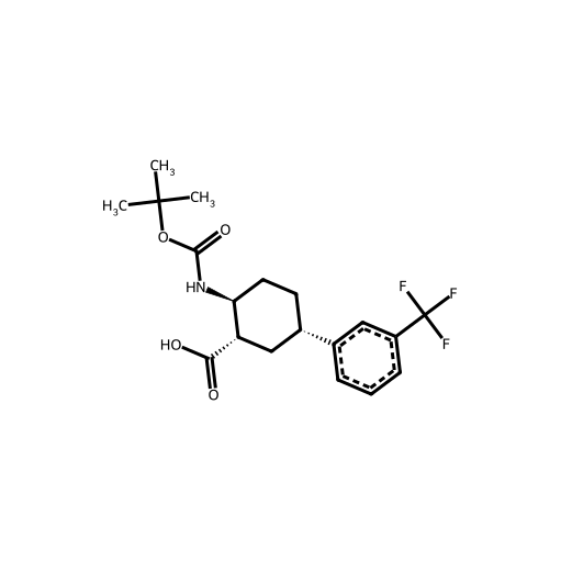 CC(C)(C)OC(=O)N[C@H]1CC[C@H](c2cccc(C(F)(F)F)c2)C[C@@H]1C(=O)O